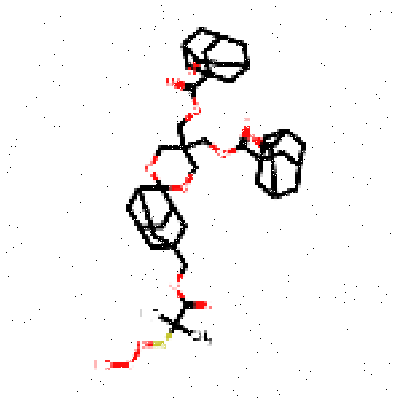 CC(C)(SOOO)C(=O)OCC12CC3CC(C1)C1(OCC(COC(=O)C45CC6CC(C4)C(=O)C(C6)C5)(COC(=O)C45CC6CC(C4)C(=O)C(C6)C5)CO1)C(C3)C2